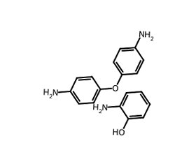 Nc1ccc(Oc2ccc(N)cc2)cc1.Nc1ccccc1O